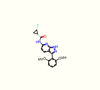 COc1cccc(OC)c1-c1n[nH]c2nc(NC(=O)[C@@H]3C[C@@H]3F)ccc12